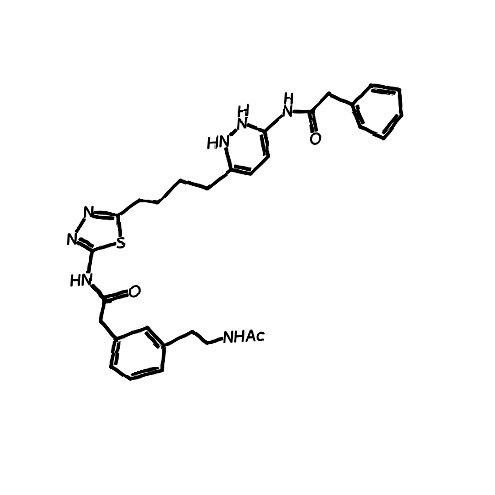 CC(=O)NCCc1cccc(CC(=O)Nc2nnc(CCCCC3=CC=C(NC(=O)Cc4ccccc4)NN3)s2)c1